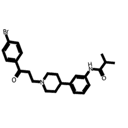 CC(C)C(=O)Nc1cccc(C2CCN(CCC(=O)c3ccc(Br)cc3)CC2)c1